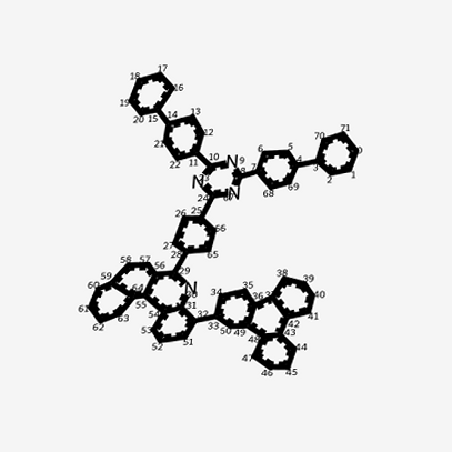 c1ccc(-c2ccc(-c3nc(-c4ccc(-c5ccccc5)cc4)nc(-c4ccc(-c5nc6c(-c7ccc8c9ccccc9c9ccccc9c8c7)cccc6c6c5ccc5ccccc56)cc4)n3)cc2)cc1